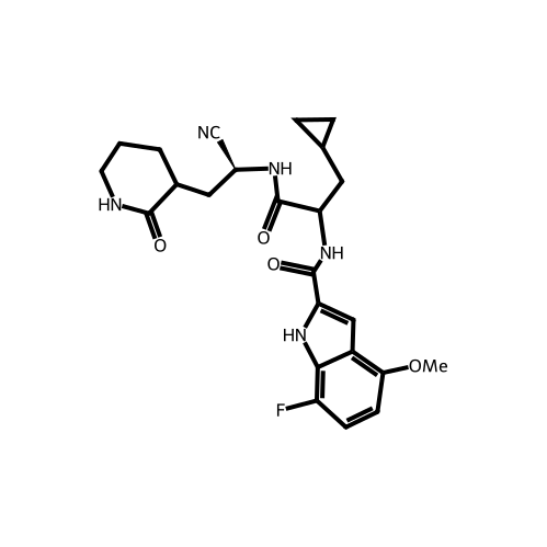 COc1ccc(F)c2[nH]c(C(=O)NC(CC3CC3)C(=O)N[C@H](C#N)CC3CCCNC3=O)cc12